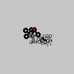 COC1(C)N(C)C(C(C)(C)O)=C(C(=O)[O-])N1c1ccc(-c2ccccc2-c2nnnn2C(c2ccccc2)(c2ccccc2)c2ccccc2)cc1.[Li+]